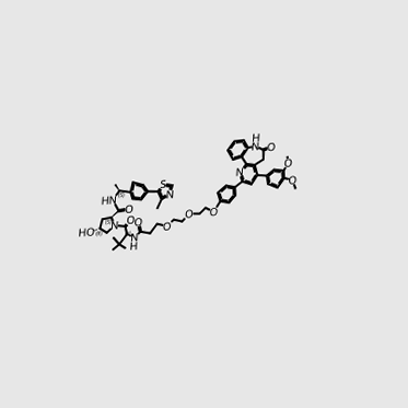 COc1ccc(-c2cc(-c3ccc(OCCOCCOCCC(=O)N[C@H](C(=O)N4C[C@H](O)C[C@H]4C(=O)N[C@@H](C)c4ccc(-c5scnc5C)cc4)C(C)(C)C)cc3)nc3c2CC(=O)Nc2ccccc2-3)cc1OC